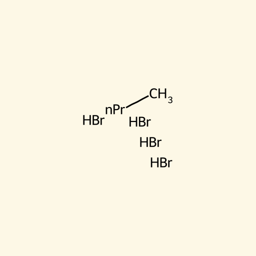 Br.Br.Br.Br.CCCC